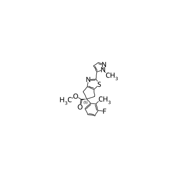 COC(=O)[C@@]1(c2cccc(F)c2C)Cc2nc(-c3ccnn3C)sc2C1